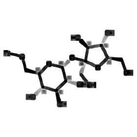 [CH2]COC[C@H]1O[C@H](O[C@]2(CO)O[C@H](CO)[C@@H](O)[C@@H]2O)[C@H](O)[C@@H](O)[C@@H]1O